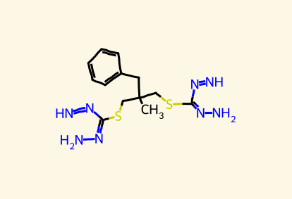 CC(CSC(N=N)=NN)(CSC(N=N)=NN)Cc1ccccc1